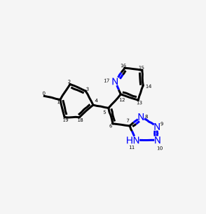 Cc1ccc(C(=Cc2nnn[nH]2)c2ccccn2)cc1